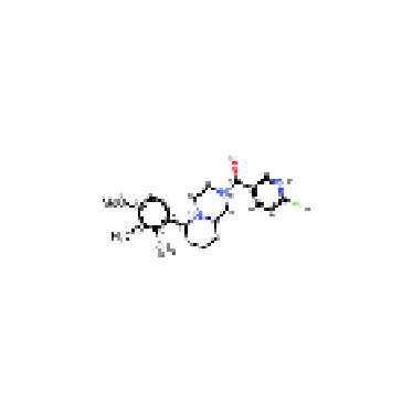 COc1ccc(C2CCCC3CN(C(=O)c4ccc(F)nc4)CCN32)c(C)c1C